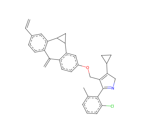 C=Cc1ccc2c(c1)C1CC1c1cc(OCC3=C(C4CC4)CN=C3c3c(C)cccc3Cl)ccc1C2=C